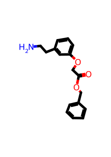 NCCc1cccc(OCC(=O)OCc2ccccc2)c1